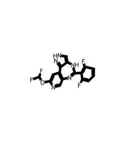 Fc1cccc(F)c1C1=Nc2cnc(OC(F)F)cc2-c2n[nH]cc2N1